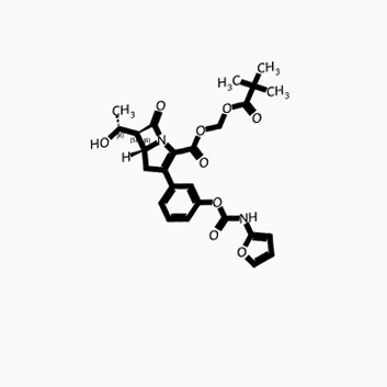 C[C@@H](O)[C@H]1C(=O)N2C(C(=O)OCOC(=O)C(C)(C)C)=C(c3cccc(OC(=O)Nc4ccco4)c3)C[C@H]12